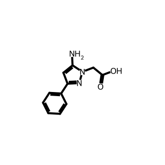 Nc1cc(-c2ccccc2)nn1CC(=O)O